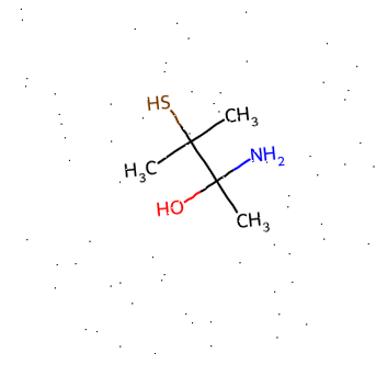 CC(N)(O)C(C)(C)S